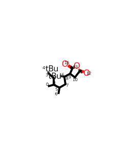 CC(CCC(C)(C)C)C(C)CC(C1CC(=O)OC1=O)C(C)(C)C